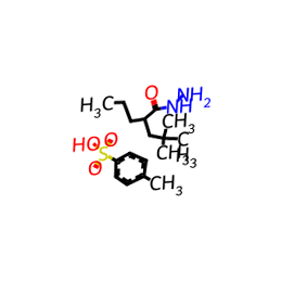 CCCC(CC(C)(C)C)C(=O)NN.Cc1ccc(S(=O)(=O)O)cc1